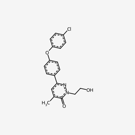 Cc1cc(-c2ccc(Oc3ccc(Cl)cc3)cc2)nn(CCO)c1=O